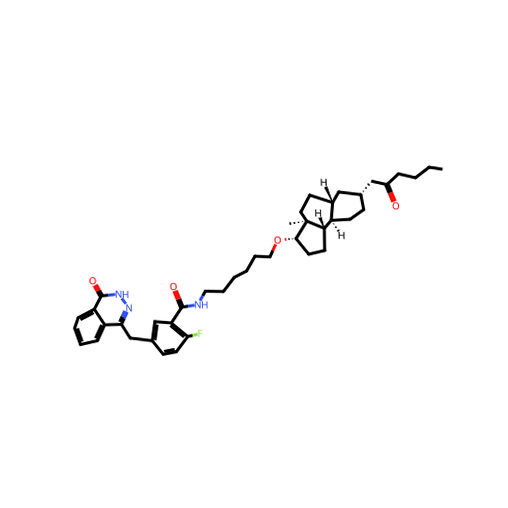 CCCCC(=O)C[C@@H]1CC[C@@H]2[C@H](CC[C@]3(C)[C@@H](OCCCCCCNC(=O)c4cc(Cc5n[nH]c(=O)c6ccccc56)ccc4F)CC[C@@H]23)C1